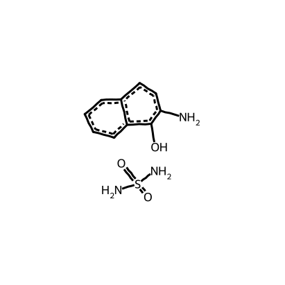 NS(N)(=O)=O.Nc1ccc2ccccc2c1O